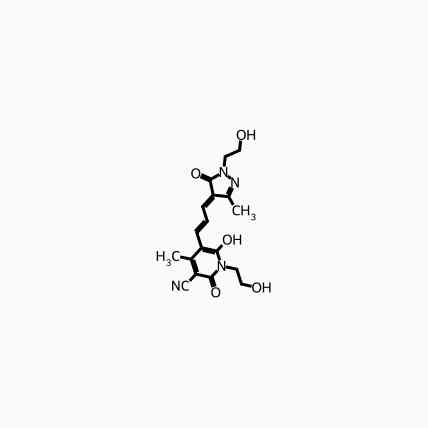 CC1=NN(CCO)C(=O)C1=CC=Cc1c(C)c(C#N)c(=O)n(CCO)c1O